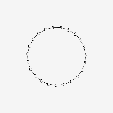 C1CCCCCCCSSSSSSSSCCCCCCC1